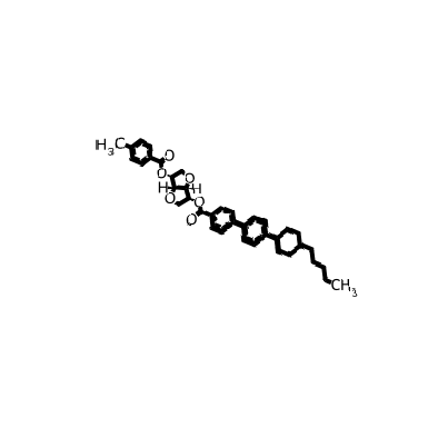 CCCCCC1CCC(c2ccc(-c3ccc(C(=O)O[C@H]4CO[C@H]5[C@H]4OC[C@H]5OC(=O)c4ccc(C)cc4)cc3)cc2)CC1